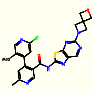 COc1cnc(Cl)cc1-c1cc(C)ncc1C(=O)Nc1nc2cnc(N3CC4(COC4)C3)nc2s1